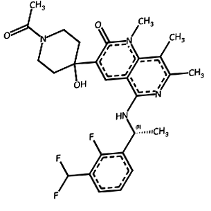 CC(=O)N1CCC(O)(c2cc3c(N[C@H](C)c4cccc(C(F)F)c4F)nc(C)c(C)c3n(C)c2=O)CC1